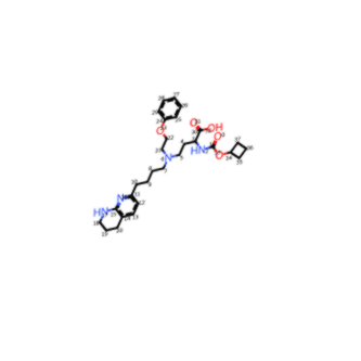 O=C(NC(CCN(CCCCc1ccc2c(n1)NCCC2)CCOc1ccccc1)C(=O)O)OC1CCC1